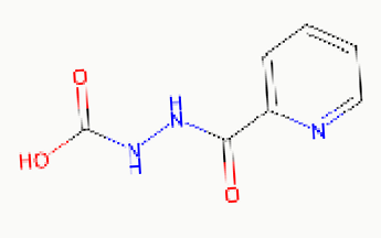 O=C(O)NNC(=O)c1ccccn1